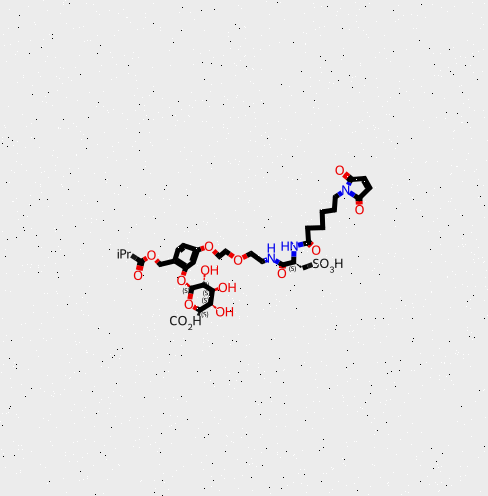 CC(C)C(=O)OCc1ccc(OCCOCCNC(=O)[C@@H](CS(=O)(=O)O)NC(=O)CCCCCN2C(=O)C=CC2=O)cc1O[C@@H]1O[C@H](C(=O)O)[C@@H](O)[C@H](O)[C@H]1O